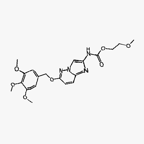 COCCOC(=O)Nc1cn2nc(OCc3cc(OC)c(OC)c(OC)c3)ccc2n1